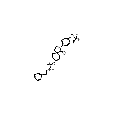 O=C(NCCc1ccccc1)O[C@H]1CC[C@]2(CCN(c3ccc(OC(F)(F)F)cc3)C2=O)CC1